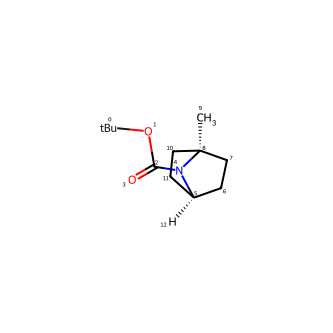 CC(C)(C)OC(=O)N1[C@H]2CC[C@]1(C)CC2